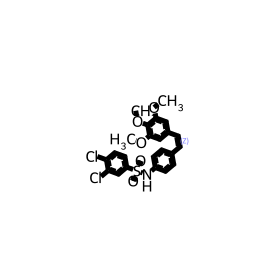 COc1cc(/C=C\c2ccc(NS(=O)(=O)c3ccc(Cl)c(Cl)c3)cc2)cc(OC)c1OC